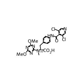 COc1nc(OC)nc(N(C)[C@@H](Cc2ccc(NC(=O)c3c(Cl)cncc3Cl)cc2)C(=O)O)n1